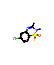 CC1=Nc2cc(Cl)ccc2S(=O)(=O)N1C